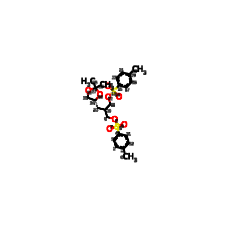 Cc1ccc(S(=O)(=O)OCC(COS(=O)(=O)c2ccc(C)cc2)C[C@@H]2COC(C)(C)O2)cc1